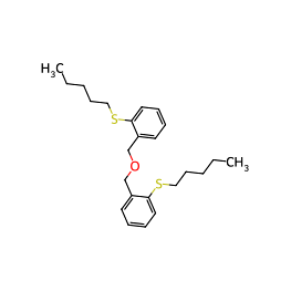 CCCCCSc1ccccc1COCc1ccccc1SCCCCC